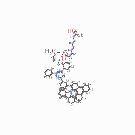 C=C/C=C\CCC1C(OC(=C)\C=C/C=C/C=C/C=C(/O)CC)=CC=CC1c1nc(-c2ccccc2)nc(-c2cccc(-c3ccc4c5ccccc5c5ccccc5c4c3-n3c4ccccc4c4ccccc43)c2)n1